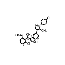 COc1ccc(F)c(Cl)c1[C@@H](C)c1c[nH]c2ncc(-c3cnn(C4CCC(=O)CC4)c3C)cc12